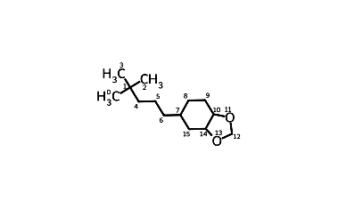 CC(C)(C)CCCC1CCC2OCOC2C1